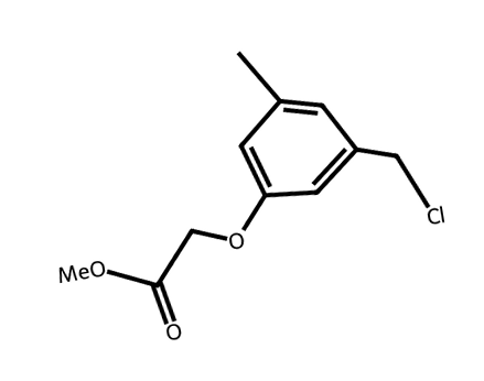 COC(=O)COc1cc(C)cc(CCl)c1